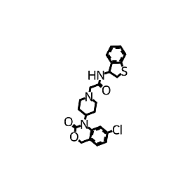 O=C(CN1CCC(N2C(=O)OCc3ccc(Cl)cc32)CC1)NC1CSc2ccccc21